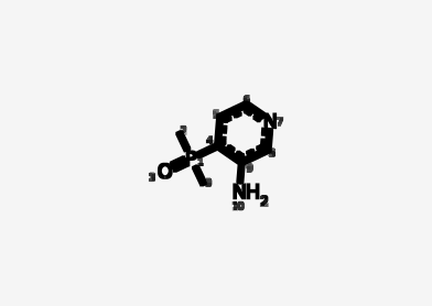 CP(C)(=O)c1ccncc1N